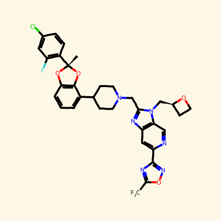 C[C@]1(c2ccc(Cl)cc2F)Oc2cccc(C3CCN(Cc4nc5cc(-c6noc(C(F)(F)F)n6)ncc5n4C[C@@H]4CCO4)CC3)c2O1